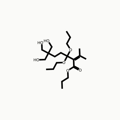 CCCOC(=O)C(=C(C)C)C(CCC(CO)(CO)CO)(OCCC)OCCC